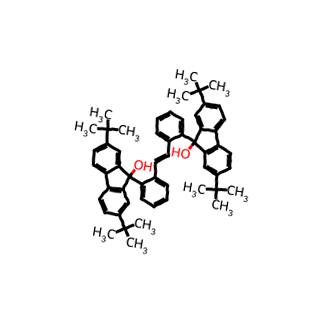 CC(C)(C)c1ccc2c(c1)C(O)(c1ccccc1/C=C/c1ccccc1C1(O)c3cc(C(C)(C)C)ccc3-c3ccc(C(C)(C)C)cc31)c1cc(C(C)(C)C)ccc1-2